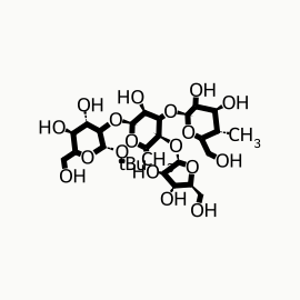 CC1O[C@@H](OC2[C@H](OC(C)(C)C)OC(CO)[C@@H](O)[C@@H]2O)[C@@H](O)C(O[C@@H]2OC(CO)[C@@H](C)[C@H](O)C2O)[C@H]1O[C@@H]1O[C@@H](CO)[C@H](O)[C@@H]1O